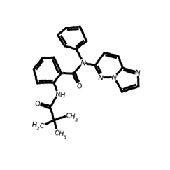 CC(C)(C)C(=O)Nc1ccccc1C(=O)N(c1ccccc1)c1ccc2nccn2n1